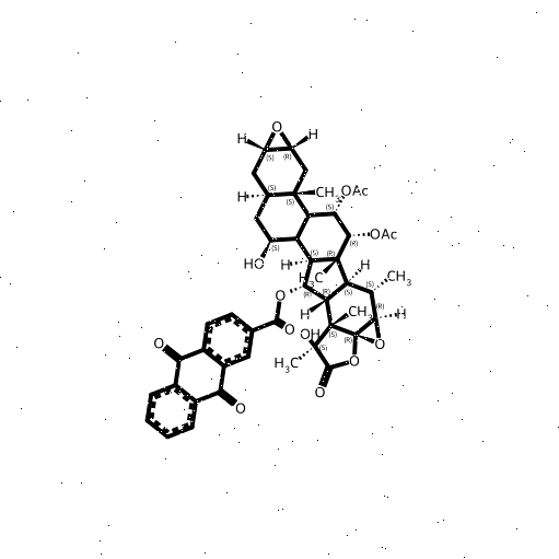 CC(=O)O[C@H]1C2C([C@@H]3[C@@H](OC(=O)c4ccc5c(c4)C(=O)c4ccccc4C5=O)[C@@H]4[C@H]([C@H](C)[C@H]5O[C@]56OC(=O)[C@@](C)(O)[C@]46C)[C@@]3(C)[C@H]1OC(C)=O)[C@@H](O)C[C@H]1C[C@@H]3O[C@@H]3C[C@]21C